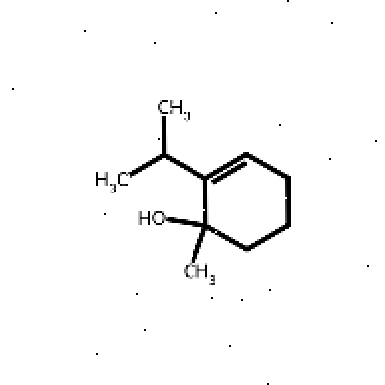 CC(C)C1=CCCCC1(C)O